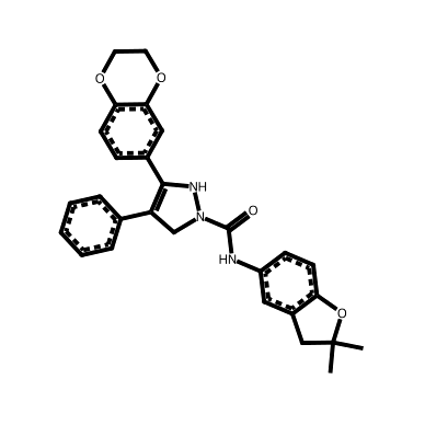 CC1(C)Cc2cc(NC(=O)N3CC(c4ccccc4)=C(c4ccc5c(c4)OCCO5)N3)ccc2O1